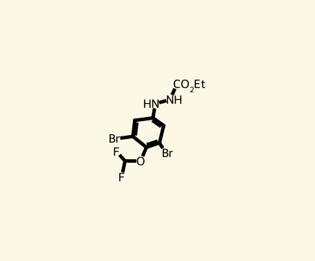 CCOC(=O)NNc1cc(Br)c(OC(F)F)c(Br)c1